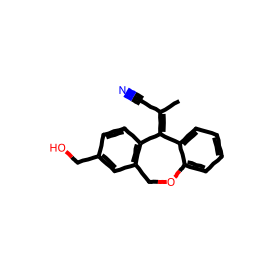 CC(C#N)=C1c2ccc(CO)cc2COc2ccccc21